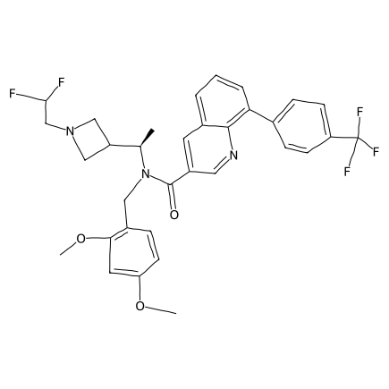 COc1ccc(CN(C(=O)c2cnc3c(-c4ccc(C(F)(F)F)cc4)cccc3c2)[C@H](C)C2CN(CC(F)F)C2)c(OC)c1